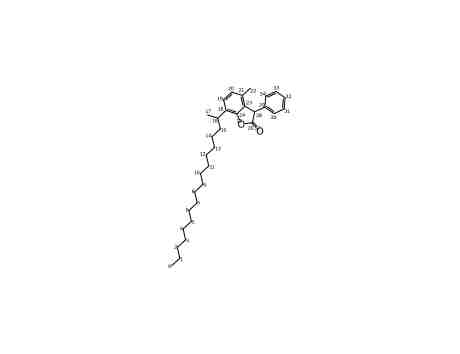 CCCCCCCCCCCCCCCCC(C)c1ccc(C)c2c1OC(=O)C2c1ccccc1